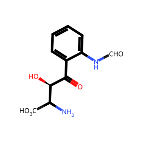 NC(C(=O)O)[C@@H](O)C(=O)c1ccccc1NC=O